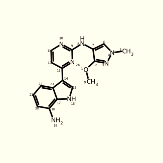 COc1nn(C)cc1Nc1nccc(-c2c[nH]c3c(N)cccc23)n1